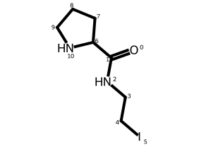 O=C(NCCI)C1CCCN1